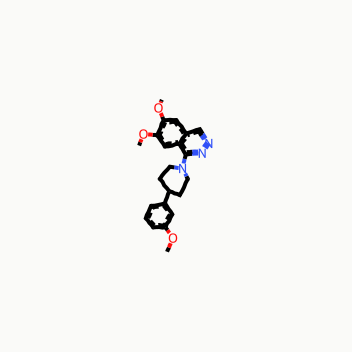 COc1cccc(C2CCN(c3nncc4cc(OC)c(OC)cc34)CC2)c1